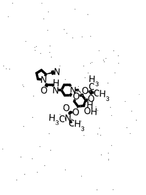 CN(C)C(=O)O[C@@H]1CO[C@@]2(CN3CCC(NCC(=O)N4CCC[C@H]4C#N)CC3)OC(C)(C)O[C@H]2[C@@H]1O